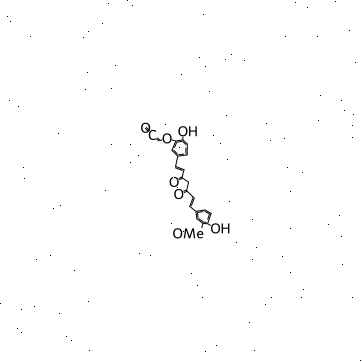 COc1cc(C=CC(=O)CC(=O)C=Cc2ccc(O)c(OC=C=O)c2)ccc1O